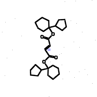 O=C(/C=C/C(=O)OC1(C2CCCC2)CCCCC1)OC1(C2CCCC2)CCCCC1